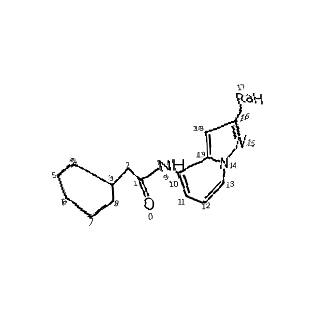 O=C(CC1CCCCC1)Nc1cccn2n[c]([RaH])cc12